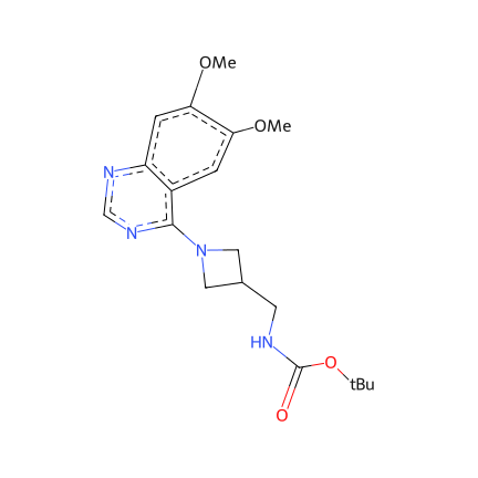 COc1cc2ncnc(N3CC(CNC(=O)OC(C)(C)C)C3)c2cc1OC